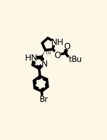 CC(C)(C)C(=O)OC1NCC[C@H]1c1nc(-c2ccc(Br)cc2)c[nH]1